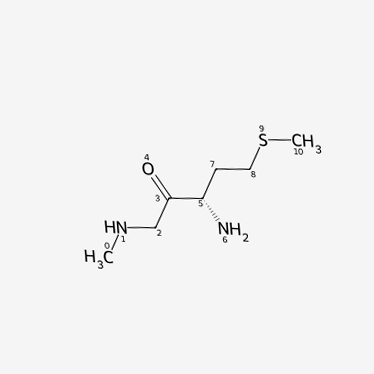 CNCC(=O)[C@@H](N)CCSC